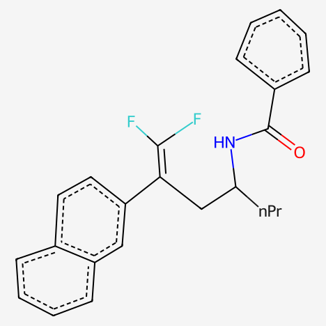 CCCC(CC(=C(F)F)c1ccc2ccccc2c1)NC(=O)c1ccccc1